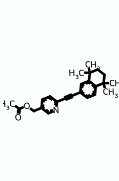 CC(=O)OCc1ccc(C#Cc2ccc3c(c2)C(C)(C)CCC3(C)C)nc1